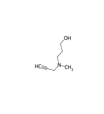 C#CCN(C)CCCO